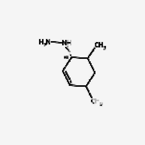 CC1C=C[C@H](NN)C(C)C1